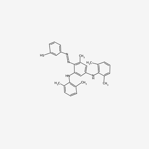 Cc1cc(Nc2c(C)cccc2C)cc(Nc2c(C)cccc2C)c1N=Nc1cccc(S)c1